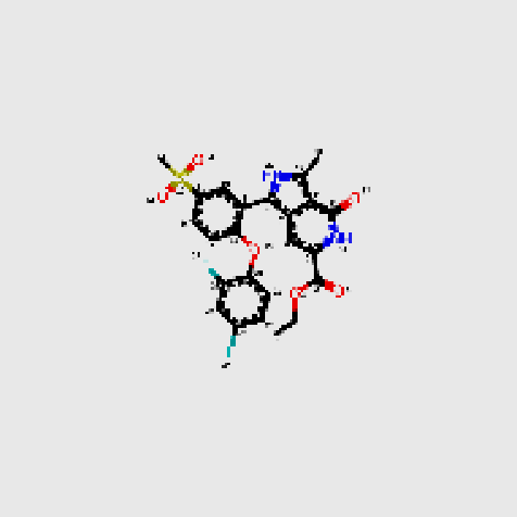 CCOC(=O)c1cc2c(-c3cc(S(C)(=O)=O)ccc3Oc3ccc(F)cc3F)[nH]c(C)c2c(=O)[nH]1